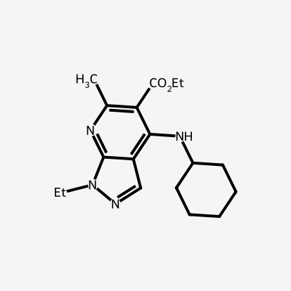 CCOC(=O)c1c(C)nc2c(cnn2CC)c1NC1CCCCC1